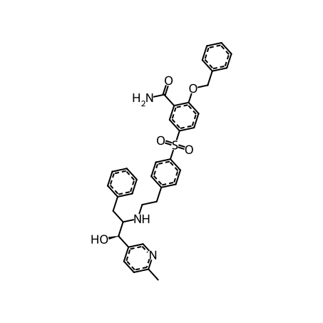 Cc1ccc([C@@H](O)C(Cc2ccccc2)NCCc2ccc(S(=O)(=O)c3ccc(OCc4ccccc4)c(C(N)=O)c3)cc2)cn1